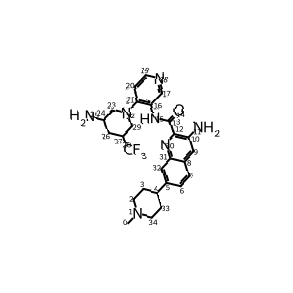 CN1CCC(c2ccc3cc(N)c(C(=O)Nc4cnccc4N4CC(N)CC(C(F)(F)F)C4)nc3c2)CC1